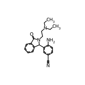 CCN(CC)CCN1C(=O)c2ccccc2C1c1cc(C#N)ccc1N